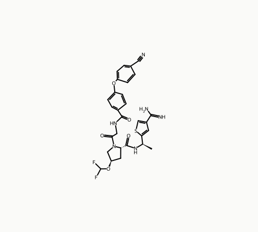 C[C@@H](NC(=O)[C@@H]1C[C@@H](OC(F)F)CN1C(=O)CNC(=O)c1ccc(Oc2ccc(C#N)cc2)cc1)c1cc(C(=N)N)cs1